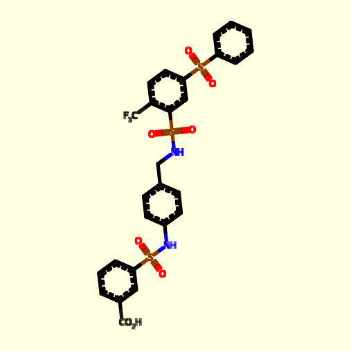 O=C(O)c1cccc(S(=O)(=O)Nc2ccc(CNS(=O)(=O)c3cc(S(=O)(=O)c4ccccc4)ccc3C(F)(F)F)cc2)c1